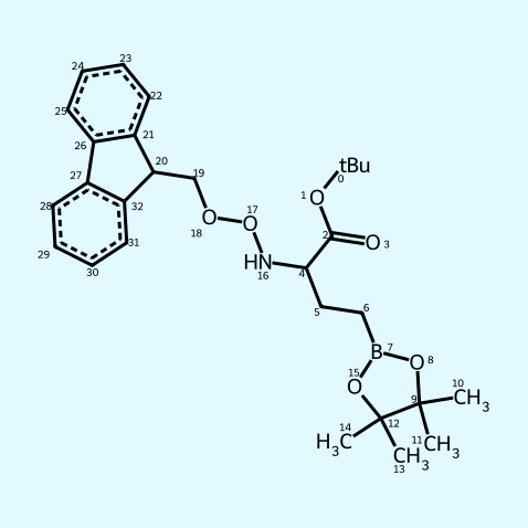 CC(C)(C)OC(=O)C(CCB1OC(C)(C)C(C)(C)O1)NOOCC1c2ccccc2-c2ccccc21